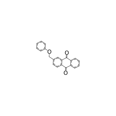 O=C1c2ccccc2C(=O)c2cc(COc3ccccc3)ccc21